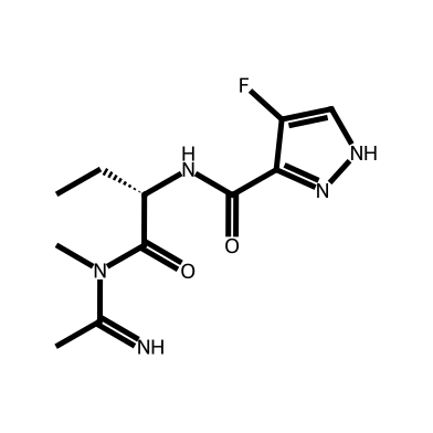 CC[C@H](NC(=O)c1n[nH]cc1F)C(=O)N(C)C(C)=N